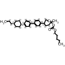 CCCCCOC(=O)OC1(C)CCC(c2ccc(-c3ccc([C@H]4CC[C@H](CCC)CC4)cc3)cc2)CC1